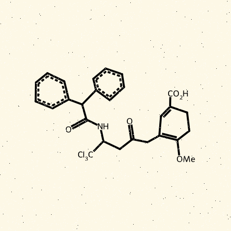 COC1=C(CC(=O)CC(NC(=O)C(c2ccccc2)c2ccccc2)C(Cl)(Cl)Cl)C=C(C(=O)O)CC1